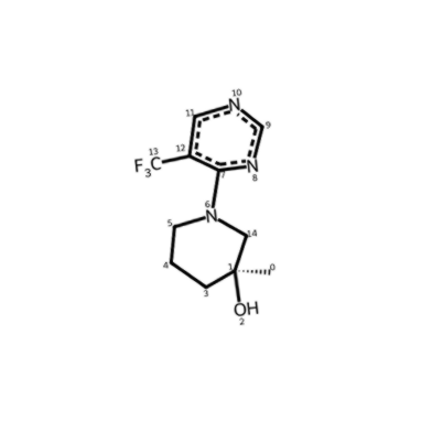 C[C@]1(O)CCCN(c2ncncc2C(F)(F)F)C1